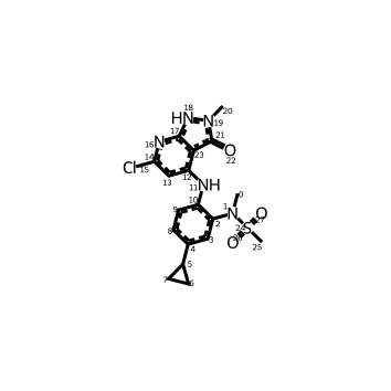 CN(c1cc(C2CC2)ccc1Nc1cc(Cl)nc2[nH]n(C)c(=O)c12)S(C)(=O)=O